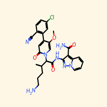 COc1cn(C(C(=O)Nc2nn3ccccc3c2C(N)=O)C(C)CCCN)c(=O)cc1-c1cc(Cl)ccc1C#N